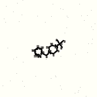 CC(C)(C)N1CCN(Cc2ccccn2)CC1